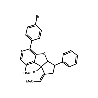 COC=C1CC(c2ccccc2)C2Oc3c(-c4ccc(Br)cc4)ncc(OC)c3C12O